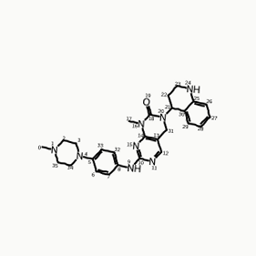 CN1CCN(c2ccc(Nc3ncc4c(n3)N(C)C(=O)N(C3CCNc5ccccc53)C4)cc2)CC1